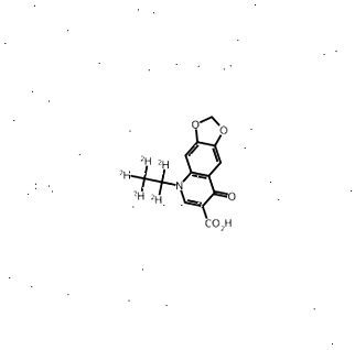 [2H]C([2H])([2H])C([2H])([2H])n1cc(C(=O)O)c(=O)c2cc3c(cc21)OCO3